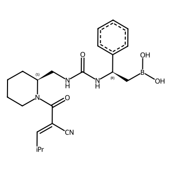 CC(C)C=C(C#N)C(=O)N1CCCC[C@H]1CNC(=O)N[C@H](CB(O)O)c1ccccc1